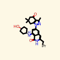 Cc1nn(-c2cc(N[C@H]3CC[C@H](O)CC3)c3c(=O)[nH]c(CC(C)C)cc3c2)c2c1C(=O)CC(C)(C)C2